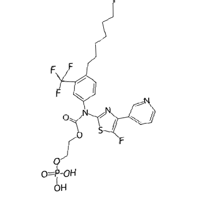 CCCCCCCCc1ccc(N(C(=O)OCCOP(=O)(O)O)c2nc(-c3cccnc3)c(F)s2)cc1C(F)(F)F